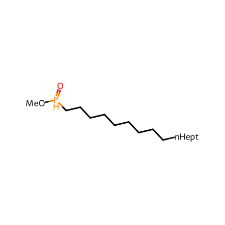 CCCCCCCCCCCCCCCC[PH](=O)OC